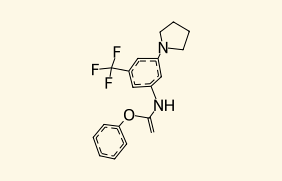 C=C(Nc1cc(N2CCCC2)cc(C(F)(F)F)c1)Oc1ccccc1